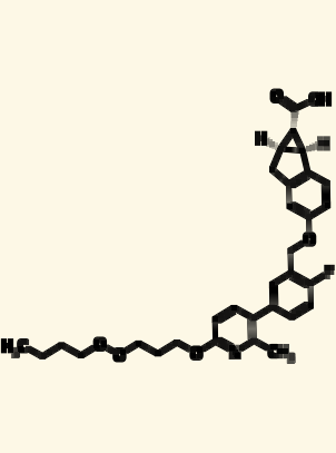 CCCCOOCCCOc1ccc(-c2ccc(F)c(COc3ccc4c(c3)C[C@H]3[C@H](C(=O)O)[C@@H]43)c2)c(C)n1